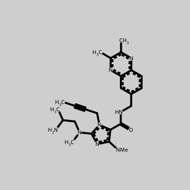 CC#CCn1c(N(C)CC(C)N)nc(NC)c1C(=O)NCc1ccc2nc(C)c(C)nc2c1